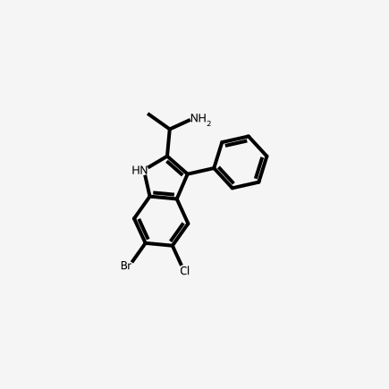 CC(N)c1[nH]c2cc(Br)c(Cl)cc2c1-c1ccccc1